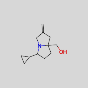 C=C1CN2C(C3CC3)CCC2(CO)C1